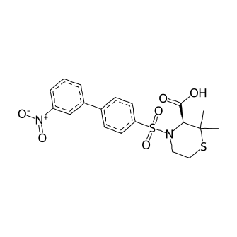 CC1(C)SCCN(S(=O)(=O)c2ccc(-c3cccc([N+](=O)[O-])c3)cc2)[C@H]1C(=O)O